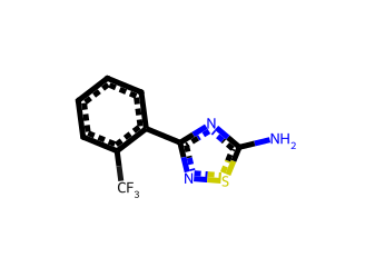 Nc1nc(-c2ccccc2C(F)(F)F)ns1